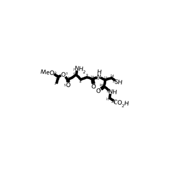 COC(C)OC(=O)C(N)CCC(=O)NC(CS)C(=O)NCC(=O)O